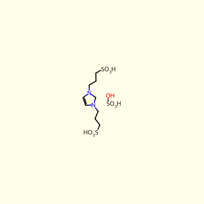 O=S(=O)(O)CCCN1C=CN(CCCS(=O)(=O)O)C1.O=S(=O)(O)O